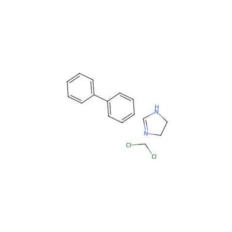 C1=NCCN1.ClCCl.c1ccc(-c2ccccc2)cc1